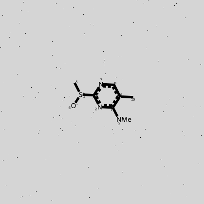 CNc1nc([S+](C)[O-])ncc1C